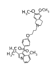 COc1cc2c(cc1OC)CN(CCCOc1ccc(S(=O)(=O)c3c(C(C)C)cn4cccc(C)c34)cc1)CC2